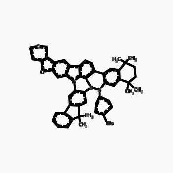 CC(C)(C)c1ccc(N2B3c4cc5c(cc4-n4c6cc7oc8ccccc8c7cc6c6ccc(c3c64)-c3cc4c(cc32)C(C)(C)CCC4(C)C)-c2ccccc2C5(C)C)cc1